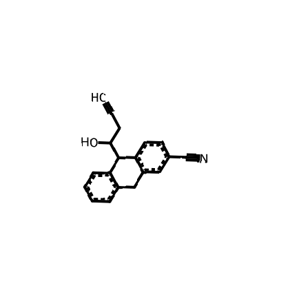 C#CCC(O)C1c2ccccc2Cc2cc(C#N)ccc21